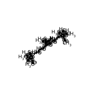 CC(=O)N[C@H]1[C@H](OCCCNC(=O)CCNC(=O)OCC(COC(=O)NCCC(=O)NCCCO[C@@H]2O[C@H](COC(C)=O)[C@H](OC(C)=O)[C@H](OC(C)=O)[C@H]2NC(C)=O)OP(OCCC#N)N(C(C)C)C(C)C)O[C@H](COC(C)=O)[C@H](OC(C)=O)[C@@H]1OC(C)=O